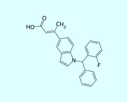 CC(=CC(=O)O)c1ccc2c(ccn2C(c2ccccc2)c2ccccc2F)c1